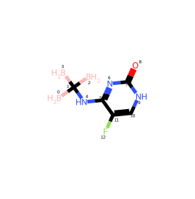 BC(B)(B)Nc1nc(=O)[nH]cc1F